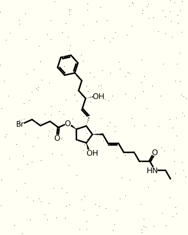 CCNC(=O)CCCC=CC[C@@H]1[C@@H](C=C[C@@H](O)CCc2ccccc2)[C@H](OC(=O)CCCBr)C[C@@H]1O